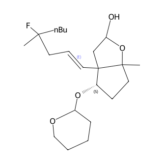 CCCCC(C)(F)C/C=C/C12CC(O)OC1(C)CC[C@@H]2OC1CCCCO1